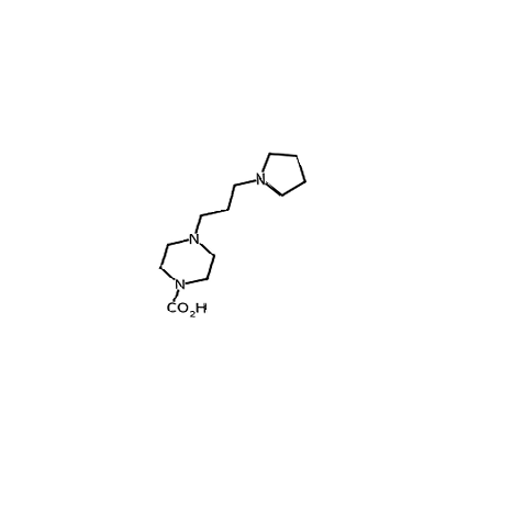 O=C(O)N1CCN(CCCN2CCCC2)CC1